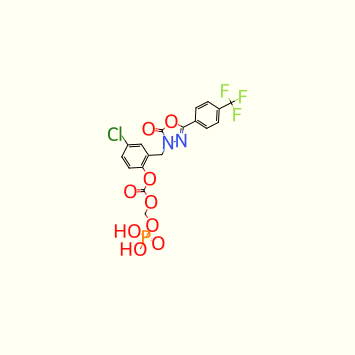 O=C(OCOP(=O)(O)O)Oc1ccc(Cl)cc1Cn1nc(-c2ccc(C(F)(F)F)cc2)oc1=O